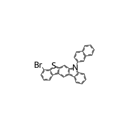 Brc1cccc2c1sc1cc3c(cc12)c1ccccc1n3-c1ccc2ccccc2c1